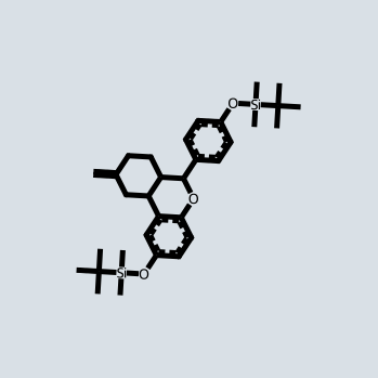 C=C1CCC2C(C1)c1cc(O[Si](C)(C)C(C)(C)C)ccc1OC2c1ccc(O[Si](C)(C)C(C)(C)C)cc1